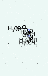 COOCc1cccc(/C=c2\[nH]c(=O)/c(=C/c3nc[nH]c3C(C)(C)C)[nH]c2=O)c1